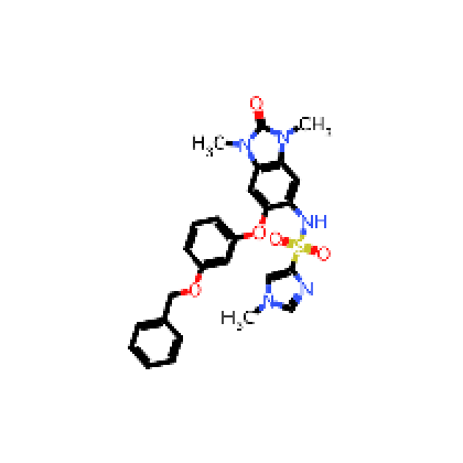 Cn1cnc(S(=O)(=O)Nc2cc3c(cc2Oc2cccc(OCc4ccccc4)c2)n(C)c(=O)n3C)c1